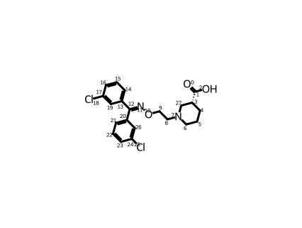 O=C(O)[C@@H]1CCCN(CCON=C(c2cccc(Cl)c2)c2cccc(Cl)c2)C1